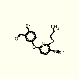 [C-]#[N+]c1ccc(Oc2ccc(Br)c(C=O)c2)nc1OCCC